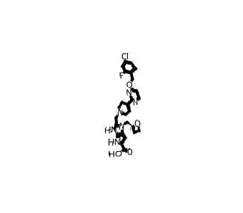 O=C(O)c1cc2c([nH]1)NC(CN1CC=C(c3nccc(OCc4ccc(Cl)cc4F)n3)CC1)N2C[C@@H]1CCO1